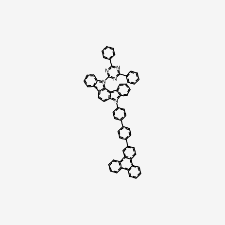 c1ccc(-c2nc(-c3ccccc3)nc(-n3c4ccccc4c4ccc5c(c6ccccc6n5-c5ccc(-c6ccc(-c7ccc8c9ccccc9c9ccccc9c8c7)cc6)cc5)c43)n2)cc1